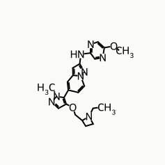 CCN1CCC1COc1cnn(C)c1-c1ccn2nc(Nc3cnc(OC)cn3)cc2c1